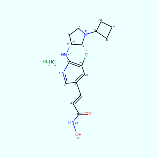 Cl.Cl.O=C(/C=C/c1cnc(N[C@@H]2CCN(C3CCC3)C2)c(Cl)c1)NO